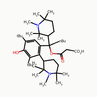 CCCCC(OC(=O)CC(=O)O)(c1cc(C(C)(C)C)c(O)c(C(C)(C)C)c1C1CCC(C)(C)N(C)C1(C)C)C1CCC(C)(C)N(C)C1(C)C